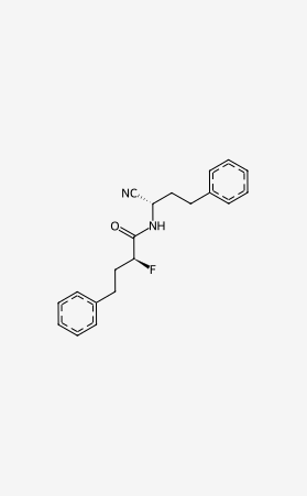 N#C[C@H](CCc1ccccc1)NC(=O)[C@@H](F)CCc1ccccc1